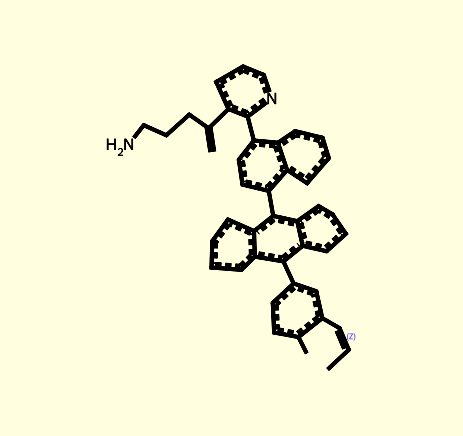 C=C(CCCN)c1cccnc1-c1ccc(-c2c3ccccc3c(-c3ccc(C)c(/C=C\C)c3)c3ccccc23)c2ccccc12